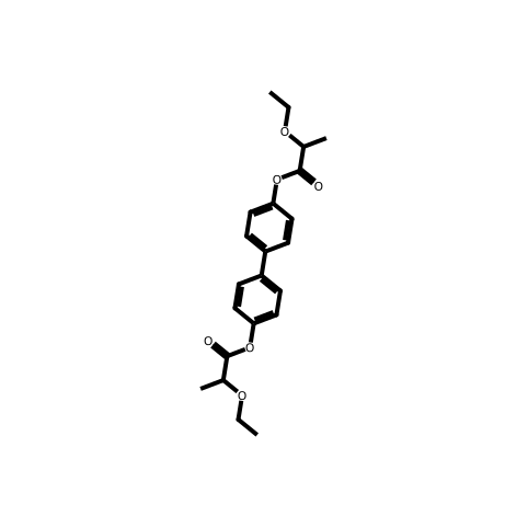 CCOC(C)C(=O)Oc1ccc(-c2ccc(OC(=O)C(C)OCC)cc2)cc1